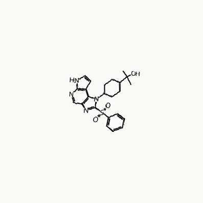 CC(C)(O)C1CCC(n2c(S(=O)(=O)c3ccccc3)nc3cnc4[nH]ccc4c32)CC1